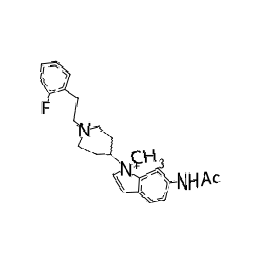 CC(=O)Nc1ccc2c(c1)[N+](C)(C1CCN(CCc3ccccc3F)CC1)C=C2